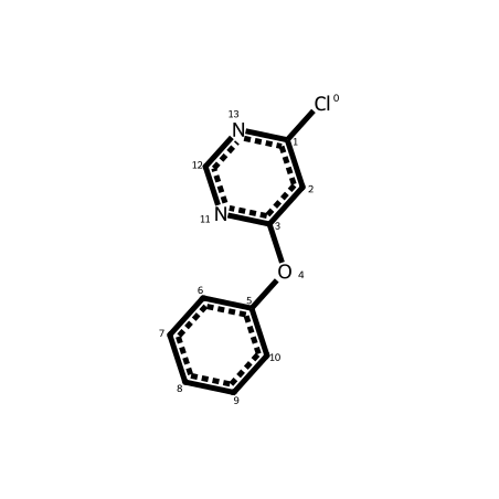 Clc1cc(Oc2ccccc2)ncn1